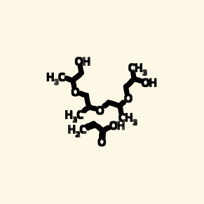 C=CC(=O)O.CC(O)COC(C)COC(C)COC(C)CO